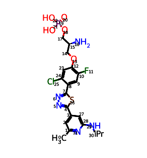 Cc1cc(-c2nnc(-c3cc(F)c(OC[C@H](N)COP(=O)(O)O)cc3Cl)s2)cc(NC(C)C)n1